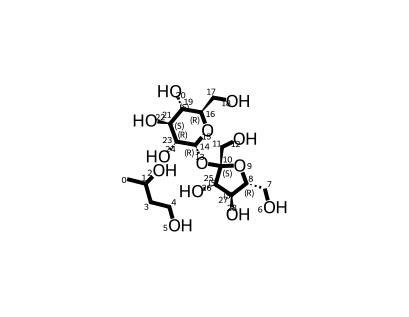 CC(O)CCO.OC[C@H]1O[C@@](CO)(O[C@H]2O[C@H](CO)[C@@H](O)[C@H](O)[C@H]2O)[C@@H](O)[C@@H]1O